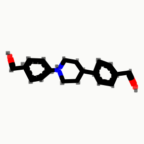 O=Cc1ccc(C2CCN(c3ccc(C=O)cc3)CC2)cc1